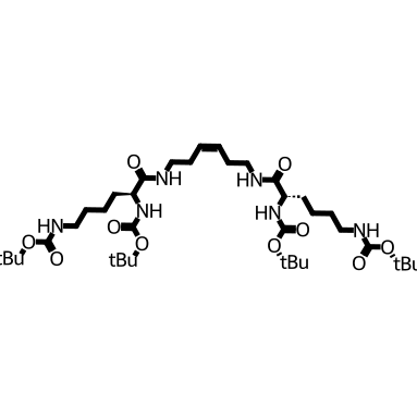 CC(C)(C)OC(=O)NCCCC[C@H](NC(=O)OC(C)(C)C)C(=O)NCC/C=C\CCNC(=O)[C@H](CCCCNC(=O)OC(C)(C)C)NC(=O)OC(C)(C)C